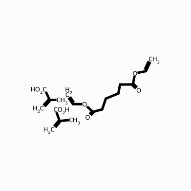 C=C(C)C(=O)O.C=C(C)C(=O)O.C=COC(=O)CCCCC(=O)OC=C